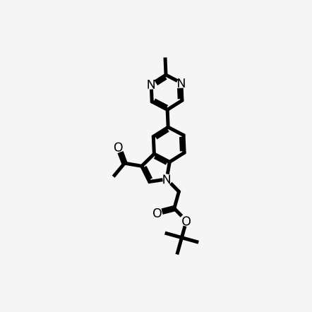 CC(=O)c1cn(CC(=O)OC(C)(C)C)c2ccc(-c3cnc(C)nc3)cc12